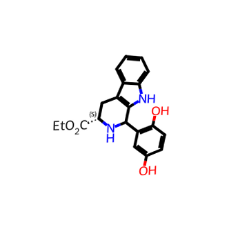 CCOC(=O)[C@@H]1Cc2c([nH]c3ccccc23)C(c2cc(O)ccc2O)N1